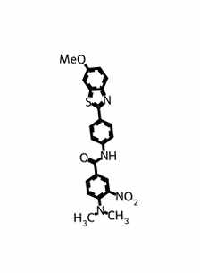 COc1ccc2nc(-c3ccc(NC(=O)c4ccc(N(C)C)c([N+](=O)[O-])c4)cc3)sc2c1